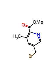 COC(=O)c1ncc(CBr)cc1C